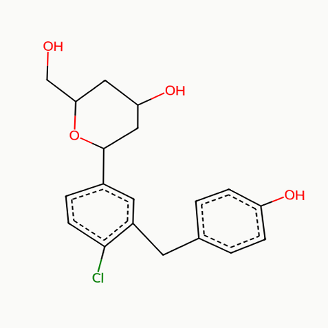 OCC1CC(O)CC(c2ccc(Cl)c(Cc3ccc(O)cc3)c2)O1